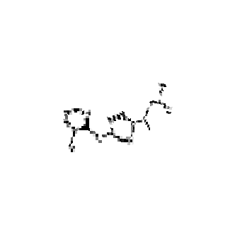 COC(=O)CN(C)c1ncc(Oc2ncccc2Br)cn1